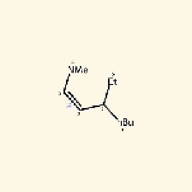 CCCCC(/C=C\NC)CC